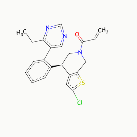 C=CC(=O)N1Cc2sc(Cl)cc2[C@@H](c2ccccc2-c2cncnc2CC)C1